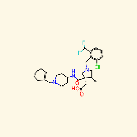 C[C@@H]1CN(Cc2c(Cl)cccc2C(F)F)C[C@]1(CC(=O)O)C(=O)NC1CCN(CC2=CCCCC2)CC1